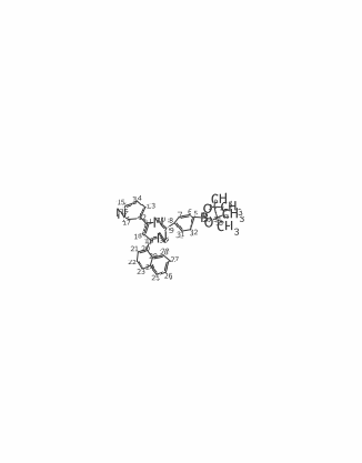 CC1(C)OB(c2ccc(-c3nc(-c4cccnc4)cc(-c4cccc5ccccc45)n3)cc2)OC1(C)C